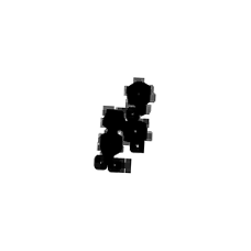 O=C(O)c1ccc(C2=C(c3cc(Cl)ccc3OCc3ccccc3)CCC2)cc1